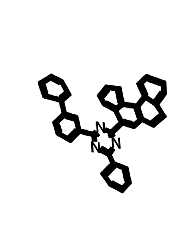 c1ccc(-c2cccc(-c3nc(-c4ccccc4)nc(-c4cc5ccc6ccccc6c5c5ccccc45)n3)c2)cc1